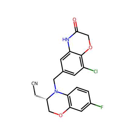 N#CC[C@H]1COc2cc(F)ccc2N1Cc1cc(Cl)c2c(c1)NC(=O)CO2